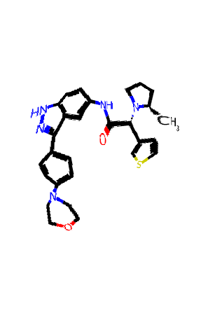 C[C@@H]1CCCN1[C@@H](C(=O)Nc1ccc2[nH]nc(-c3ccc(N4CCOCC4)cc3)c2c1)c1ccsc1